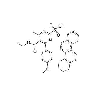 CCOC(=O)c1c(C)nc(S(=O)(=O)O)nc1-c1ccc(OC)cc1.c1ccc2c(c1)ccc1c3c(ccc12)CCCC3